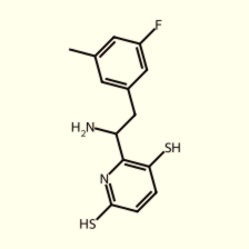 Cc1cc(F)cc(CC(N)c2nc(S)ccc2S)c1